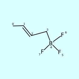 C/C=C/C[B-](F)(F)F